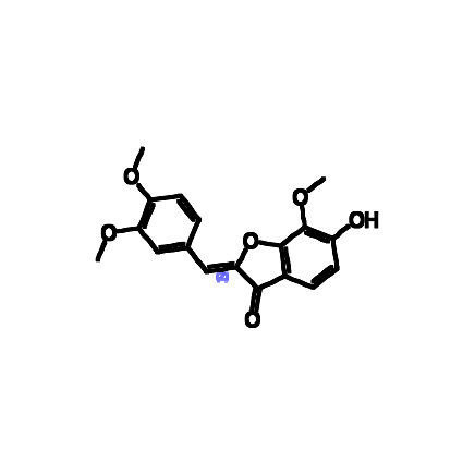 COc1ccc(/C=C2\Oc3c(ccc(O)c3OC)C2=O)cc1OC